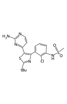 CC(C)(C)c1nc(-c2cccc(NS(C)(=O)=O)c2Cl)c(-c2ccnc(N)n2)s1